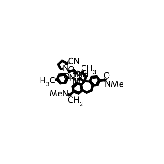 C=C(NC)c1ccc2c(c1)CCc1cc(C(=O)NC)ccc1C2(C[C@H](C)NCC(=O)N1CCCC1C#N)c1nn(-c2ccc(C)cc2)c(=O)[nH]1